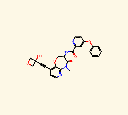 CN1C(=O)C(NC(=O)c2cc(Oc3ccccc3)ccn2)COc2c(C#CC3(O)COC3)ccnc21